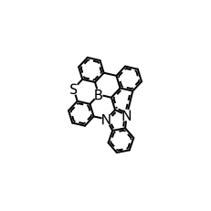 c1cc2c3c(c1)-c1cccc4c1c1c5n(c6ccccc6n45)-c4cccc(c4B31)S2